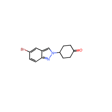 O=C1CCC(n2cc3cc(Br)ccc3n2)CC1